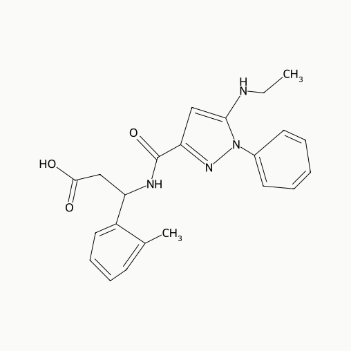 CCNc1cc(C(=O)NC(CC(=O)O)c2ccccc2C)nn1-c1ccccc1